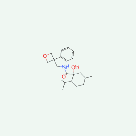 CC1CCC(C(C)C)[C@@](O)(C(=O)NCC2(c3ccccc3)COC2)C1